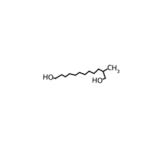 CC(CO)CCCCCCCCCCO